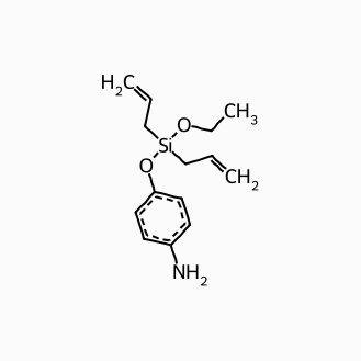 C=CC[Si](CC=C)(OCC)Oc1ccc(N)cc1